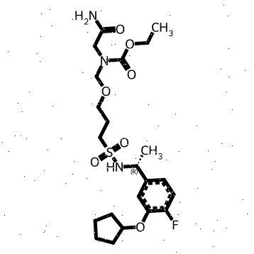 CCOC(=O)N(COCCCS(=O)(=O)N[C@H](C)c1ccc(F)c(OC2CCCC2)c1)CC(N)=O